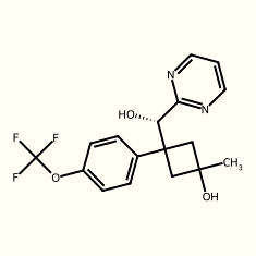 CC1(O)CC(c2ccc(OC(F)(F)F)cc2)([C@H](O)c2ncccn2)C1